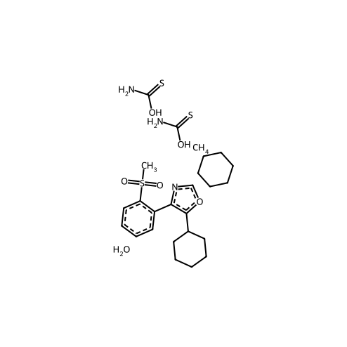 C.C1CCCCC1.CS(=O)(=O)c1ccccc1-c1ncoc1C1CCCCC1.NC(O)=S.NC(O)=S.O